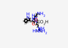 N=C(N)NCCC[C@H](NC(=O)[C@H](Cc1c[nH]c2ccccc12)NC(=O)CCCN)C(=O)O